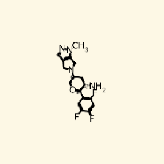 Cn1ncc2c1CN([C@@H]1CO[C@H](c3cc(F)c(F)cc3F)[C@@H](N)C1)C2